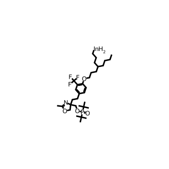 CCCCC(CC[CH2][InH2])CCCOc1ccc(CCC2(COP(=O)(C(C)(C)C)C(C)(C)C)COC(C)=N2)cc1C(F)(F)F